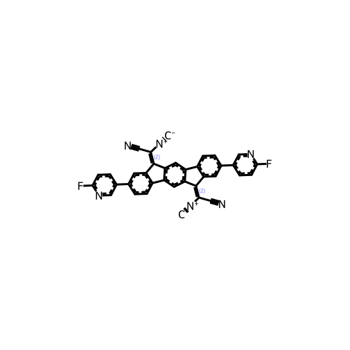 [C-]#[N+]/C(C#N)=C1/c2cc(-c3ccc(F)nc3)ccc2-c2cc3c(cc21)-c1ccc(-c2ccc(F)nc2)cc1/C3=C(\C#N)[N+]#[C-]